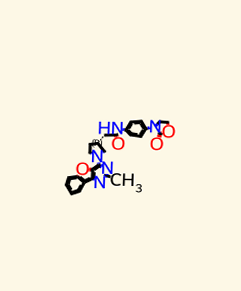 Cc1nc(N2CC[C@H](CC(=O)Nc3ccc(N4CCOC4=O)cc3)C2)c2oc3ccccc3c2n1